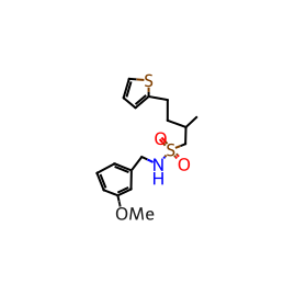 COc1cccc(CNS(=O)(=O)CC(C)CCc2cccs2)c1